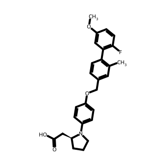 COc1ccc(F)c(-c2ccc(COc3ccc(N4CCC[C@H]4CC(=O)O)cc3)cc2C)c1